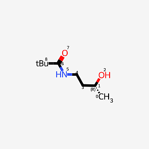 C[C@@H](O)CCNC(=O)C(C)(C)C